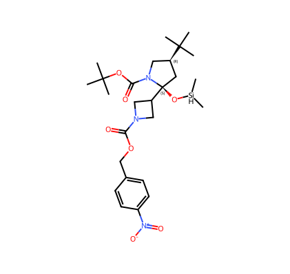 C[SiH](C)O[C@]1(C2CN(C(=O)OCc3ccc([N+](=O)[O-])cc3)C2)C[C@H](C(C)(C)C)CN1C(=O)OC(C)(C)C